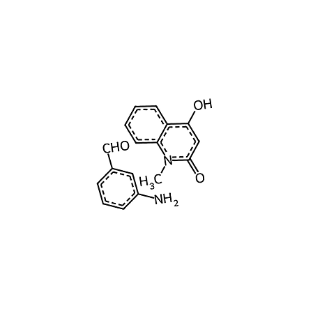 Cn1c(=O)cc(O)c2ccccc21.Nc1cccc(C=O)c1